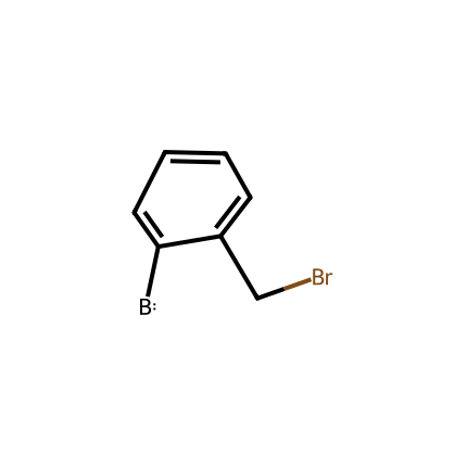 [B]c1ccccc1CBr